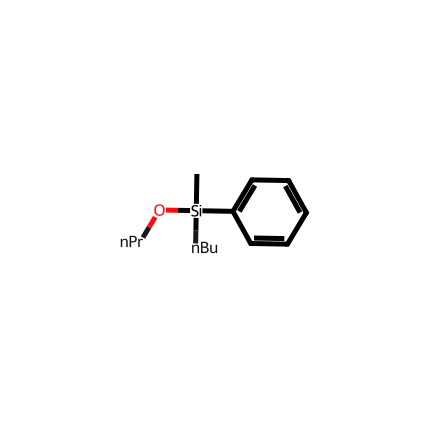 CCCC[Si](C)(OCCC)c1ccccc1